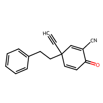 C#CC1(CCc2ccccc2)C=CC(=O)C(C#N)=C1